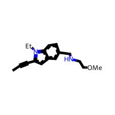 CC#Cc1cc2cc(CNCCOC)ccc2n1CC